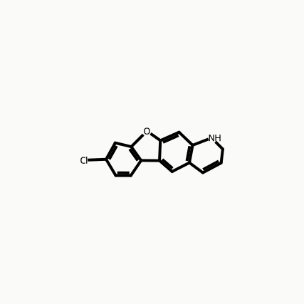 Clc1ccc2c(c1)oc1cc3c(cc12)C=CCN3